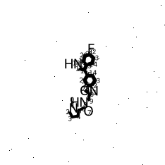 CN1CCCC1C(=O)NCc1nc2ccc(-c3c[nH]c4cc(F)ccc34)cc2o1